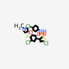 CN1CC[C@@H](Oc2cc(NS(=O)(=O)c3sc(Cl)cc3-c3ccc(F)c(Cl)c3)ccc2Cl)C1